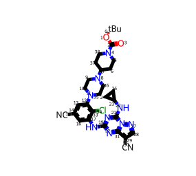 CC(C)(C)OC(=O)N1CCC(N2CCN(c3cc(C#N)cc(Nc4nc(NC5CC5)n5ncc(C#N)c5n4)c3Cl)CC2)CC1